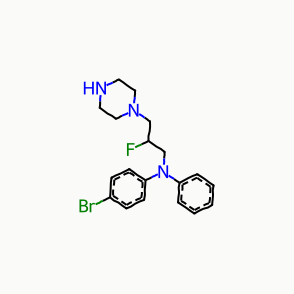 FC(CN1CCNCC1)CN(c1ccccc1)c1ccc(Br)cc1